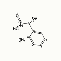 N.O=[PH](O)C(O)c1ccccc1